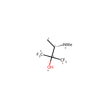 CN[C@@H](C)C(O)(C(F)(F)F)C(F)(F)F